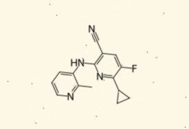 Cc1ncccc1Nc1nc(C2CC2)c(F)cc1C#N